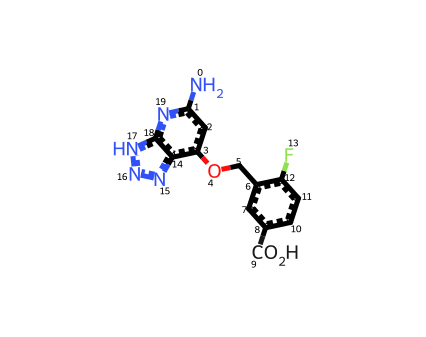 Nc1cc(OCc2cc(C(=O)O)ccc2F)c2nn[nH]c2n1